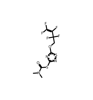 CN(C)C(=O)Sc1nsc(OCC(F)(F)C(F)=C(F)F)n1